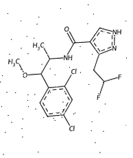 COC(c1ccc(Cl)cc1Cl)C(C)NC(=O)c1c[nH]nc1CC(F)F